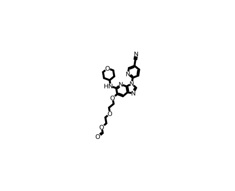 N#Cc1ccc(-n2cnc3cc(OCCOCCOC=O)c(NC4CCOCC4)nc32)nc1